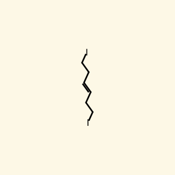 ICCC=CCCI